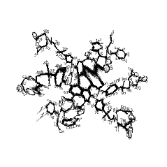 CCCN(C(=O)C(c1cccs1)N1C(=O)c2cc(Oc3ccc(C(C)(C)CN(CC4CO4)CC4CO4)cc3)c3c4c(Oc5ccc(C(C)(C)CN(CC6CO6)CC6CO6)cc5)cc5c6c(cc(Oc7ccc(C(C)(C)CN(CC8CO8)CC8CO8)cc7)c(c7c(Oc8ccc(C(C)(C)CN(CC9CO9)CC9CO9)cc8)cc(c2c37)C1=O)c64)C(=O)N(C(C(=O)N(CCC)C1CCCCC1)c1cccs1)C5=O)C1CCCCC1